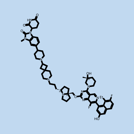 CCc1c(F)ccc2cc(O)cc(-c3ncc4c(N5CCC[C@@](C)(O)C5)nc(OC[C@@]56CCCN5[C@H](CCCN5CCC7(CC5)CC(N5CCC(c8ccc9c(c8)n(C)c(=O)n9C8CCC(=O)NC8=O)CC5)C7)CC6)nc4c3F)c12